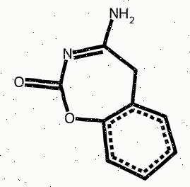 NC1=NC(=O)Oc2ccccc2C1